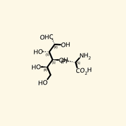 CC(C)[C@H](N)C(=O)O.O=C[C@H](O)[C@@H](O)[C@@H](O)[C@H](O)CO